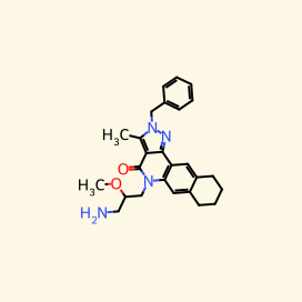 COC(CN)Cn1c(=O)c2c(C)n(Cc3ccccc3)nc2c2cc3c(cc21)CCCC3